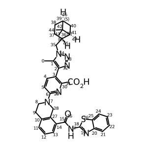 Cc1c(-c2ccc(N3CCc4cccc(C(=O)Nc5nc6ccccc6s5)c4C3)nc2C(=O)O)nnn1C[C@@H]1CC[C@H]2C[C@@H]1C2(C)C